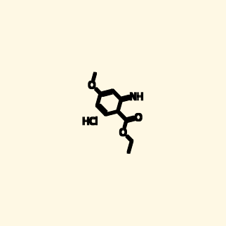 CCOC(=O)C1C=CC(OC)=CC1=N.Cl